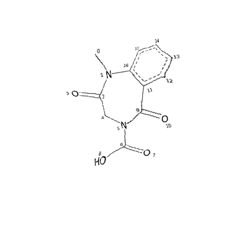 CN1C(=O)CN(C(=O)O)C(=O)c2ccccc21